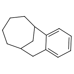 c1ccc2c(c1)CC1CCCCC2C1